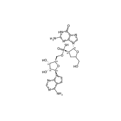 Nc1nc2c(ncn2[C@@H]2OC(CO)C[C@H]2P(=O)(S)OC[C@H]2O[C@@H](n3ccc4c(N)ncnc43)[C@H](O)[C@@H]2O)c(=O)[nH]1